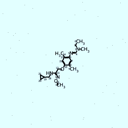 CCN(C)C=Nc1cc(C)c(OCC(=NOC)NCC2CC2)cc1C